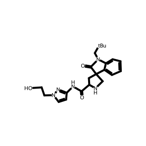 CC(C)(C)CN1C(=O)C2(CNC(C(=O)Nc3ccn(CCO)n3)C2)c2ccccc21